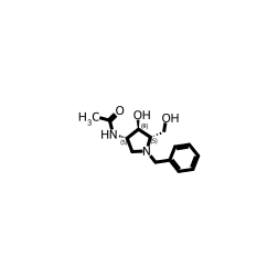 CC(=O)N[C@H]1CN(Cc2ccccc2)[C@@H](CO)[C@@H]1O